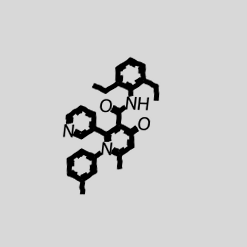 CCc1cccc(CC)c1NC(=O)c1c(-c2cccnc2)n(-c2cccc(C)c2)c(C)cc1=O